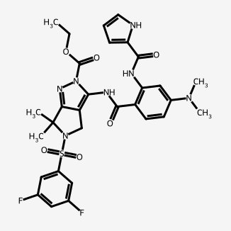 CCOC(=O)n1nc2c(c1NC(=O)c1ccc(N(C)C)cc1NC(=O)c1ccc[nH]1)CN(S(=O)(=O)c1cc(F)cc(F)c1)C2(C)C